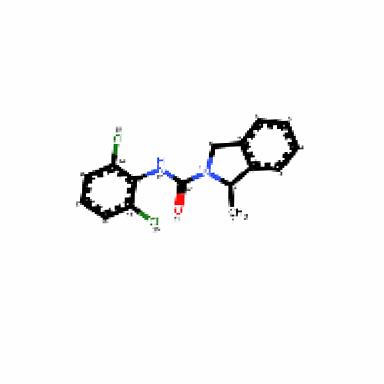 CC1c2ccccc2CN1C(=O)Nc1c(Cl)cccc1Cl